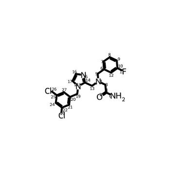 NC(=O)CN(Cc1cccc(F)c1)Cc1nccn1Cc1cc(Cl)cc(Cl)c1